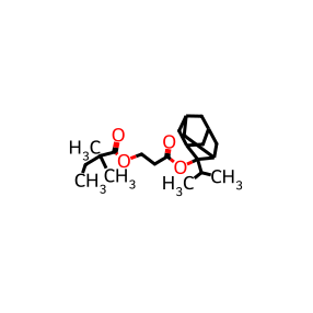 CCC(C)(C)C(=O)OCCC(=O)OC1(C(C)C)C2CC3CC(C2)CC1C3